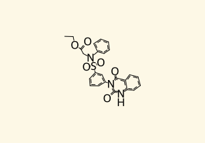 CCOC(=O)CN(c1ccccc1)S(=O)(=O)c1cccc(-n2c(=O)[nH]c3ccccc3c2=O)c1